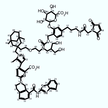 Cc1c(-c2ccc(N3CCc4cccc(C(=O)Nc5nc6ccccc6s5)c4C3)nc2C(=O)O)cnn1CC1(CCOCCN(CC(CO)CO)C(=O)OCc2ccc(CCCNC(=O)CN3C(=O)C=CC3=O)cc2O[C@@H]2O[C@H](C(=O)O)[C@@H](O)[C@H](O)[C@H]2O)CC2(C)CCCC(C)(C2)C1